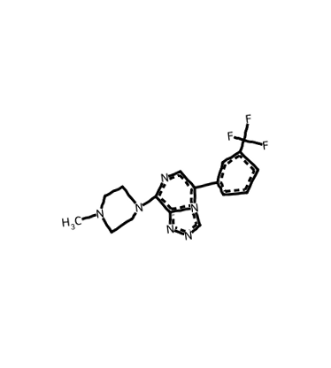 CN1CCN(c2ncc(-c3cccc(C(F)(F)F)c3)n3cnnc23)CC1